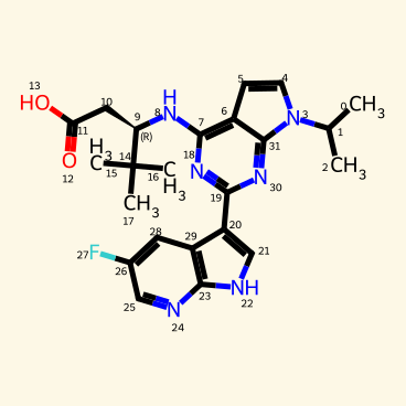 CC(C)n1ccc2c(N[C@H](CC(=O)O)C(C)(C)C)nc(-c3c[nH]c4ncc(F)cc34)nc21